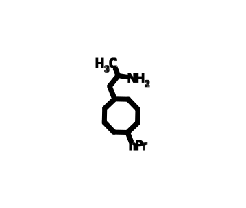 CCCC1CCCC(CC(C)N)CCC1